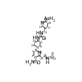 NC(=O)c1ccc(-c2ccc(NC(=O)NCc3ccc([AsH2])nc3)cc2)nc1CCNC1CC1